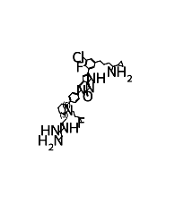 N=C(CN)NCC[C@@H]1CCC[C@@H](c2ccc(-n3cc4cc(-c5cc(CCCC(N)C6CC6)cc(Cl)c5F)[nH]c4nc3=O)cc2)N1CCCF